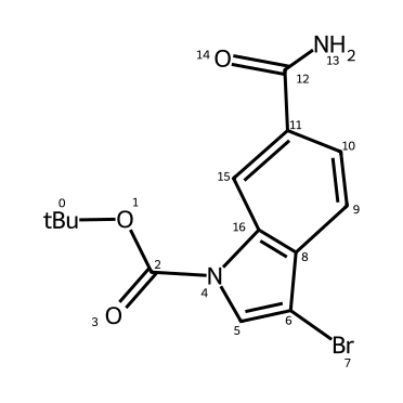 CC(C)(C)OC(=O)n1cc(Br)c2ccc(C(N)=O)cc21